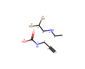 C#CCNC(=O)O.CCNCC(S)S